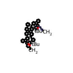 C=C/C=C/C=C(\C)CC1(c2ccc(C(C)(C)C)cc2)c2ccccc2-c2ccc(N(c3ccccc3)c3ccc4c(c3)C(c3ccccc3)(c3ccccc3)c3cc(N(c5ccccc5)c5ccc6c(c5)C(Cc5ccc(C=C)cc5)(c5ccc(C(C)(C)C)cc5)c5ccccc5-6)ccc3-4)cc21